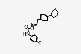 O=C(Nc1ccc(F)cc1)ON=CCc1ccc(C2CCCCC2)cc1